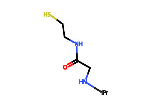 CC(C)NCC(=O)NCCS